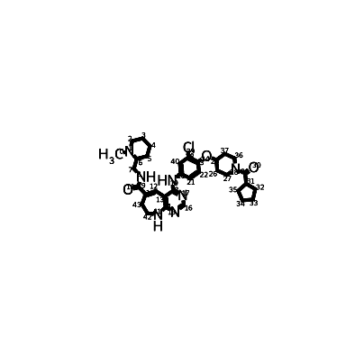 CN1CCCCC1CNC(=O)C1=Cc2c(ncnc2Nc2ccc(OC3CCN(C(=O)C4CCCC4)CC3)c(Cl)c2)NCC1